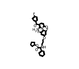 Nc1c(C(=O)c2ccc(F)cc2)ccc(=O)n1-c1c(F)cc(OCCCN[C@H](C(=O)OC2CCCC2)c2ccccc2)cc1F